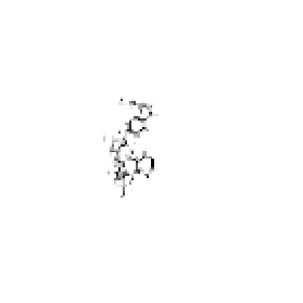 C=CCN1c2ncccc2-c2nc(Nc3ccc4c(c3)N(C(C)=O)CC4)ncc2S1(=O)=O